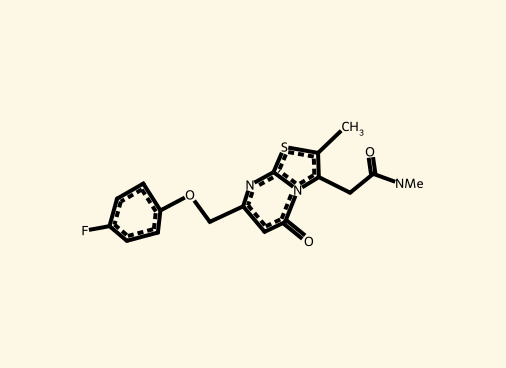 CNC(=O)Cc1c(C)sc2nc(COc3ccc(F)cc3)cc(=O)n12